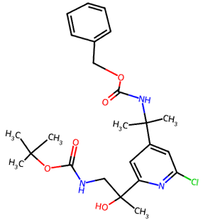 CC(C)(C)OC(=O)NCC(C)(O)c1cc(C(C)(C)NC(=O)OCc2ccccc2)cc(Cl)n1